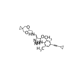 Cc1cc(C#CC2CC2)cc(C)c1NC(=O)/C(=C/NCC1OCC2(CC2)CO1)N=N